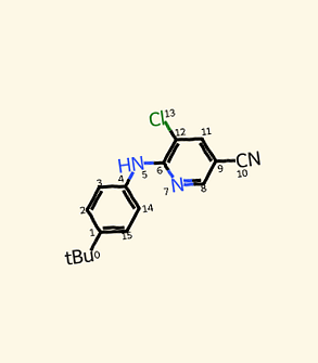 CC(C)(C)c1ccc(Nc2ncc(C#N)cc2Cl)cc1